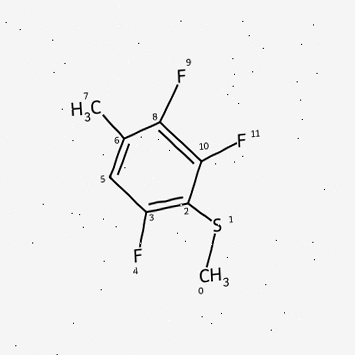 CSc1c(F)cc(C)c(F)c1F